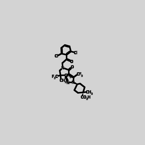 CC(C)(CN(CC(=O)c1c(Cl)cccc1Cl)C(=O)c1cnn([C@H]2CC[C@](C)(C(=O)O)CC2)c1C(F)(F)F)C(F)(F)F